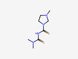 CN1CCN(C(=S)NC(=S)N(C)C)C1